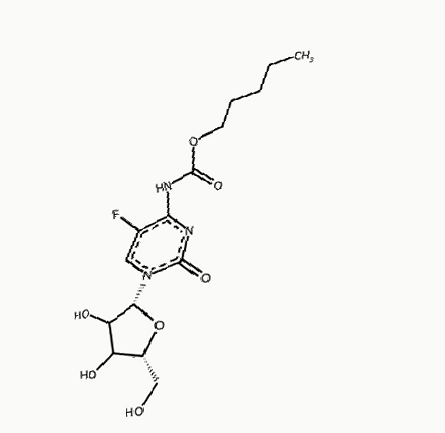 CCCCCOC(=O)Nc1nc(=O)n([C@@H]2O[C@H](CO)C(O)C2O)cc1F